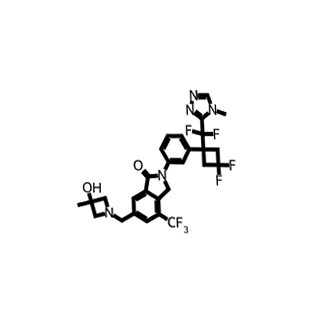 Cn1cnnc1C(F)(F)C1(c2cccc(N3Cc4c(cc(CN5CC(C)(O)C5)cc4C(F)(F)F)C3=O)c2)CC(F)(F)C1